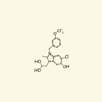 Cc1c(CC(O)O)c2cc(O)c(Cl)cc2n1Cc1cccc(OC(F)(F)F)c1